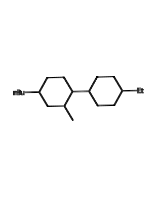 CCCCC1CCC(C2CCC(CC)CC2)C(C)C1